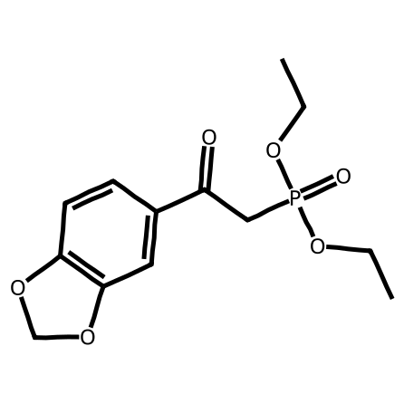 CCOP(=O)(CC(=O)c1ccc2c(c1)OCO2)OCC